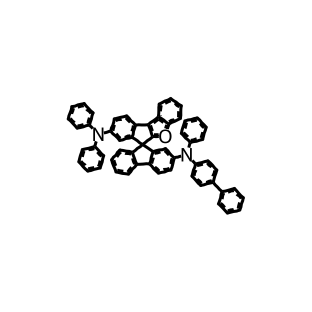 c1ccc(-c2ccc(N(c3ccccc3)c3ccc4c(c3)C3(c5ccccc5-4)c4cc(N(c5ccccc5)c5ccccc5)ccc4-c4c3oc3ccccc43)cc2)cc1